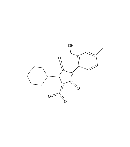 Cc1ccc(N2C(=O)C(=S(=O)=O)C(C3CCCCC3)C2=O)c(CO)c1